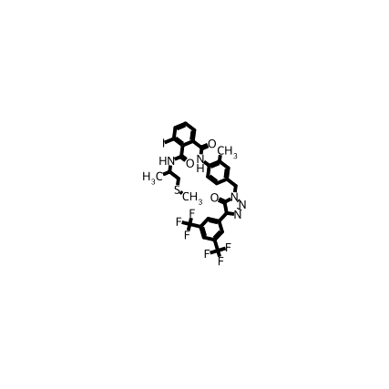 CSCC(C)NC(=O)c1c(I)cccc1C(=O)Nc1ccc(CN2N=NC(c3cc(C(F)(F)F)cc(C(F)(F)F)c3)C2=O)cc1C